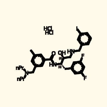 CCCN(CCC)Cc1cc(C)cc(C(=O)N[C@@H](Cc2cc(F)cc(F)c2)[C@@H](O)CNCc2cccc(I)c2)c1.Cl.Cl